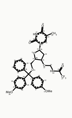 COc1ccc(C(OC[C@H]2O[C@@H](n3cc(C)c(=O)[nH]c3=O)CC2OCNC(=O)C(F)(F)F)(c2ccccc2)c2ccc(OC)cc2)cc1